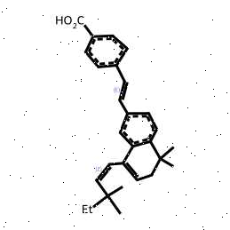 CCC(C)(C)/C=C\C1=CCC(C)(C)c2ccc(/C=C/c3ccc(C(=O)O)cc3)cc21